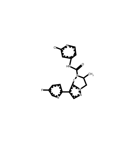 CC1Cn2ncc(-c3ccc(F)cn3)c2CN1C(=O)Nc1ccnc(Cl)c1